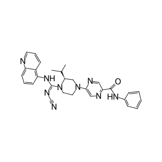 CC(C)[C@H]1CN(c2cnc(C(=O)Nc3ccccc3)cn2)CCN1/C(=N\C#N)Nc1cccc2ncccc12